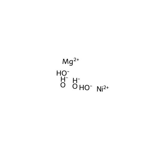 [Mg+2].[Ni+2].[OH-].[OH-].[OH-].[OH-]